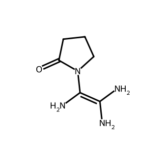 NC(N)=C(N)N1CCCC1=O